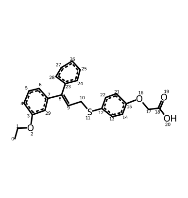 CCOc1cccc(C(=CCSc2ccc(OCC(=O)O)cc2)c2ccccc2)c1